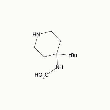 CC(C)(C)C1(NC(=O)O)CCNCC1